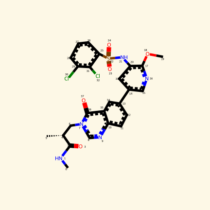 CNC(=O)[C@H](C)Cn1cnc2ccc(-c3cnc(OC)c(NS(=O)(=O)c4cccc(Cl)c4Cl)c3)cc2c1=O